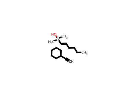 C#CC1CCCCC1.CCCCC=C[Si](C)(C)O